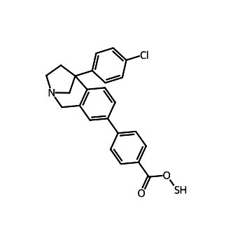 O=C(OS)c1ccc(-c2ccc3c(c2)CN2CCC3(c3ccc(Cl)cc3)C2)cc1